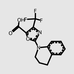 O=C(O)c1oc(N2CCCc3ccccc32)nc1C(F)(F)F